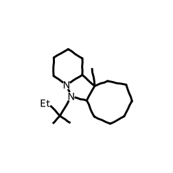 CCC(C)(C)N1C2CCCCCCC2(C)C2CCCCN21